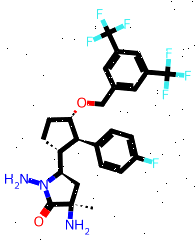 C[C@@]1(N)C[C@H]([C@@H]2CC[C@H](OCc3cc(C(F)(F)F)cc(C(F)(F)F)c3)[C@H]2c2ccc(F)cc2)N(N)C1=O